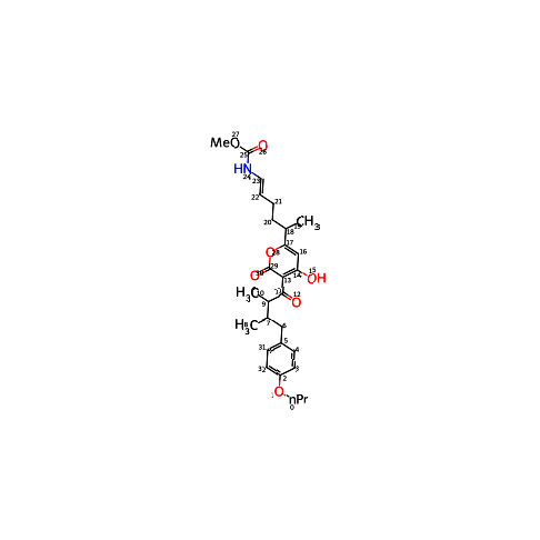 CCCOc1ccc(CC(C)C(C)C(=O)c2c(O)cc(C(C)CC/C=C/NC(=O)OC)oc2=O)cc1